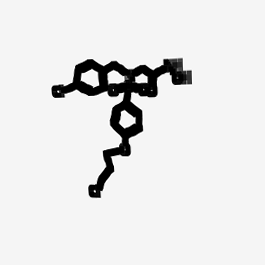 O=C(CN(Cc1ccc(Cl)cc1)S(=O)(=O)c1ccc(OCCCCl)cc1)NO